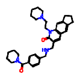 O=C(c1ccc(CNCc2cc3cc4c(cc3n(CCN3CCCCC3)c2=O)CCC4)cc1)N1CCCCC1